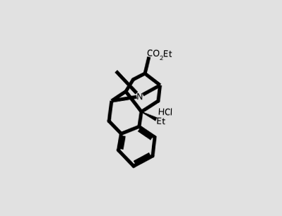 CCOC(=O)C1CC2C3Cc4ccccc4[C@@]2(CC)CC1N3C.Cl